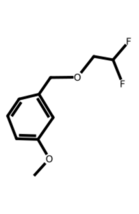 COc1cccc(COCC(F)F)c1